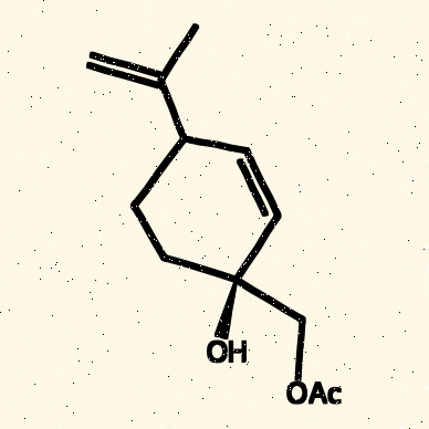 C=C(C)C1C=C[C@](O)(COC(C)=O)CC1